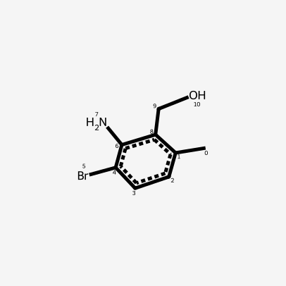 Cc1ccc(Br)c(N)c1CO